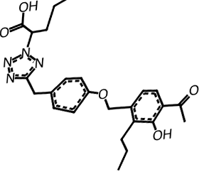 CCCc1c(COc2ccc(Cc3nnn(C(CCC)C(=O)O)n3)cc2)ccc(C(C)=O)c1O